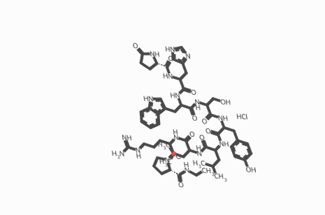 CCNC(=O)[C@@H]1CCCN1C(=O)C(CCCNC(=N)N)NC(=O)C(CC(C)C)NC(=O)C(CC(C)C)NC(=O)C(Cc1ccc(O)cc1)NC(=O)C(CO)NC(=O)C(Cc1c[nH]c2ccccc12)NC(=O)C(Cc1c[nH]cn1)NC(=O)[C@@H]1CCC(=O)N1.Cl